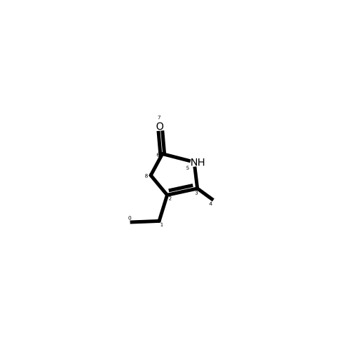 CCC1=C(C)NC(=O)C1